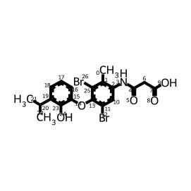 Cc1c(NC(=O)CC(=O)O)cc(Br)c(Oc2cccc(C(C)C)c2O)c1Br